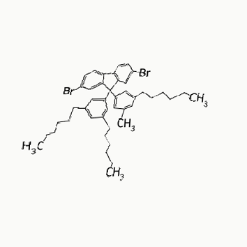 CCCCCCc1cc(C)cc(C2(c3cc(CCCCCC)cc(CCCCCC)c3)c3cc(Br)ccc3-c3ccc(Br)cc32)c1